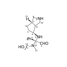 CC(C)[C@](C=O)(N[C@H]1CC[C@@H]2CNCC21)N(C)C(=O)O